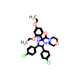 CCOc1ccc(C2(C(=O)N3CCOCC3)NC(c3ccc(Cl)cc3)C(c3ccc(Cl)cc3)N2)c(OCC)c1